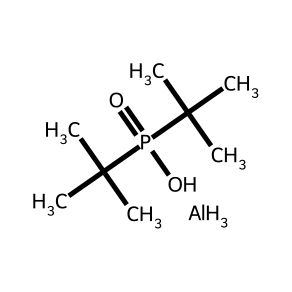 CC(C)(C)P(=O)(O)C(C)(C)C.[AlH3]